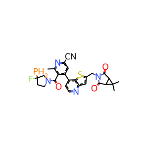 Cc1nc(C#N)cc(-c2ccnc3cc(CN4C(=O)C5C(C4=O)C5(C)C)sc23)c1C(=O)N1CCC(F)(P)C1